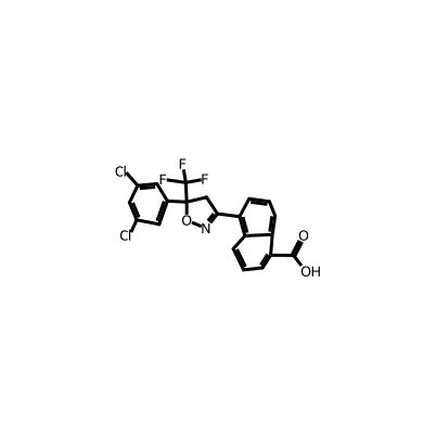 O=C(O)c1cccc2c(C3=NOC(c4cc(Cl)cc(Cl)c4)(C(F)(F)F)C3)cccc12